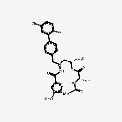 COC(=O)N[C@H](C(=O)O[C@H](CN(Cc1ccc(-c2cc(Cl)ccc2F)cc1)NC(=O)c1cc(OC)no1)C(=O)O)C(C)C